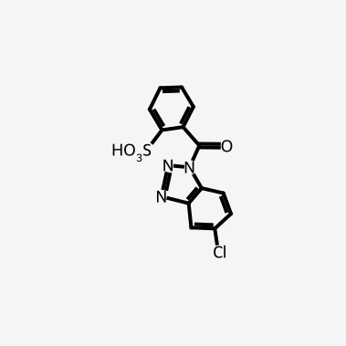 O=C(c1ccccc1S(=O)(=O)O)n1nnc2cc(Cl)ccc21